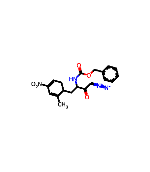 CC1=CC([N+](=O)[O-])=CCC1CC(NC(=O)OCc1ccccc1)C(=O)C=[N+]=[N-]